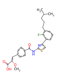 CO/C(=C\c1ccc(C(=O)Nc2nc(-c3cccc(CCCC(C)C)c3F)cs2)cc1)C(=O)O